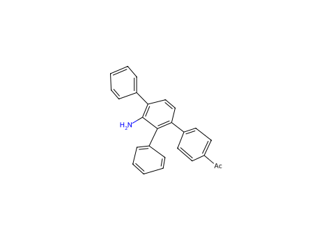 CC(=O)c1ccc(-c2ccc(-c3ccccc3)c(N)c2-c2ccccc2)cc1